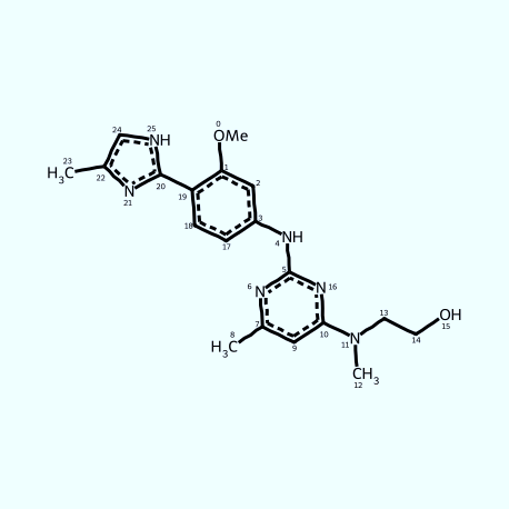 COc1cc(Nc2nc(C)cc(N(C)CCO)n2)ccc1-c1nc(C)c[nH]1